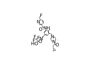 Cc1c(CN2CCN(C(=O)CC3CC3)[C@@H](C)C2)cc(C#N)cc1NC(=O)c1ccc(CF)nc1.O=C(O)C(F)(F)F